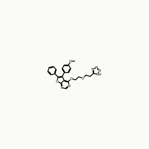 COc1ccc(-c2c(-c3ccccc3)oc3ncnc(OCCOCCc4nnn[nH]4)c23)cc1